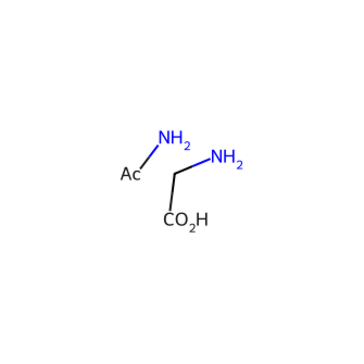 CC(N)=O.NCC(=O)O